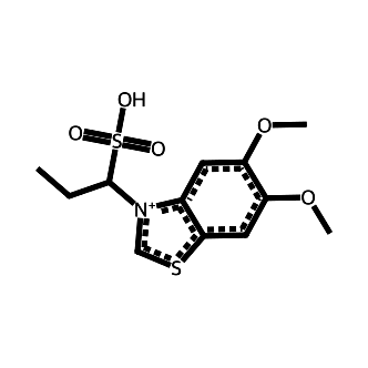 CCC([n+]1csc2cc(OC)c(OC)cc21)S(=O)(=O)O